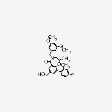 COc1cc(CN2CC(C)Oc3c(cc(CO)cc3-c3ccc(F)cc3C)C2=O)cc(OC)c1